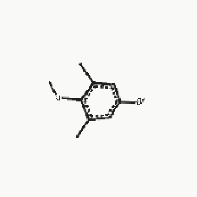 COc1c(C)cc(Br)cc1C